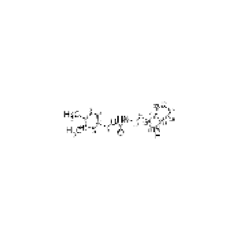 Cc1ccc(COC(=O)NCCc2c[nH]c3ccccc23)cc1C